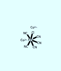 N#[C][Fe-4]([Cl])([C]#N)([C]#N)([C]#N)[C]#N.[Co+2].[Co+2]